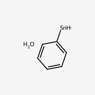 O.[SnH][c]1ccccc1